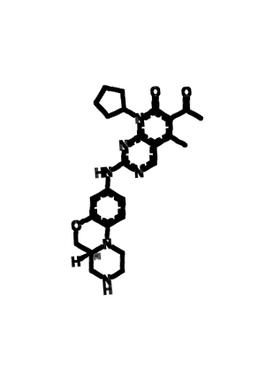 CC(=O)c1c(C)c2cnc(Nc3ccc4c(c3)OC[C@H]3CNCCN43)nc2n(C2CCCC2)c1=O